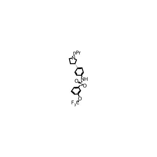 CCCN1CC[C@@H](c2ccc(NS(=O)(=O)c3cccc(OC(F)(F)F)c3)cc2)C1